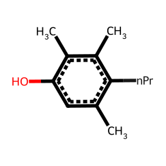 CCCc1c(C)cc(O)c(C)c1C